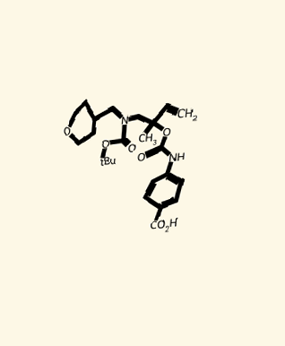 C=CC(C)(CN(CC1CCOCC1)C(=O)OC(C)(C)C)OC(=O)Nc1ccc(C(=O)O)cc1